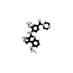 COc1cc(C(=O)N2CCOCC2)ccc1Nc1nc2cccc(OC)c2c2cn[nH]c12